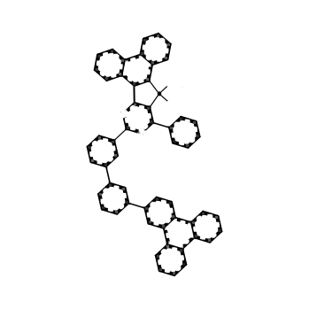 CC1(C)c2c(-c3ccccc3)nc(-c3cccc(-c4cccc(-c5ccc6c7ccccc7c7ccccc7c6c5)c4)c3)nc2-c2c1c1ccccc1c1ccccc21